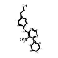 O=[N+]([O-])c1c(Oc2ccc(CCO)cc2)ncnc1N1CCCCC1